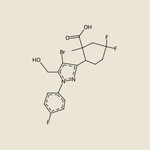 CC1(C(=O)O)CC(F)(F)CCC1c1nn(-c2ccc(F)cc2)c(CO)c1Br